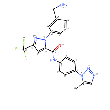 Cc1cnnn1-c1ccc(NC(=O)c2cc(C(F)(F)F)nn2-c2cccc(CN)c2)cc1